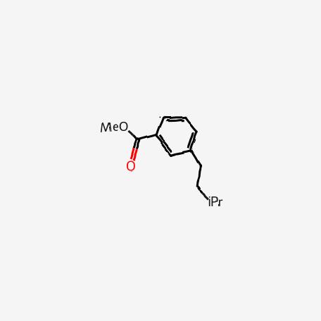 COC(=O)c1[c]ccc(CCC(C)C)c1